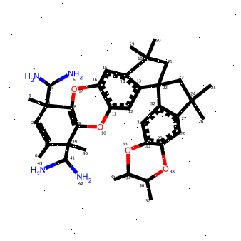 CC1=CC(C)(C(N)N)C2=C(Oc3cc4c(cc3O2)C(C)(C)CC42CC(C)(C)c3cc4c(cc32)OC(C)C(C)O4)C1(C)C(N)N